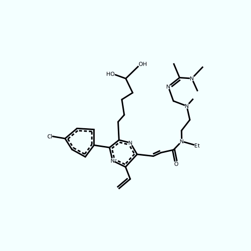 C=Cc1nc(-c2ccc(Cl)cc2)c(CCCCC(O)O)nc1/C=C/C(=O)N(CC)CCN(C)C/N=C(/C)N(C)C